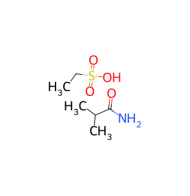 CC(C)C(N)=O.CCS(=O)(=O)O